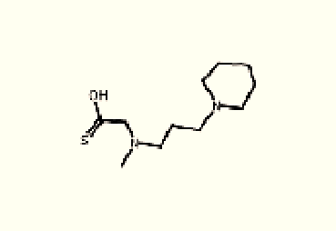 CN(CCCN1CCCCC1)CC(O)=S